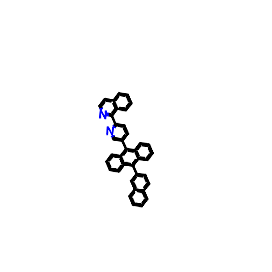 c1ccc2cc(-c3c4ccccc4c(-c4ccc(-c5nccc6ccccc56)nc4)c4ccccc34)ccc2c1